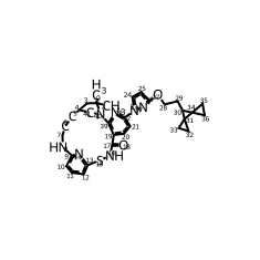 CC1(C)CC2CCCNc3cccc(n3)SNC(=O)c3ccc(-n4ccc(OCCC5C6(CC6)C56CC6)n4)nc3N1C2